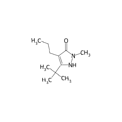 CCCc1c(C(C)(C)C)[nH]n(C)c1=O